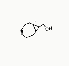 C[C@@]12CCC#CCC[C@]1(C)C2CO